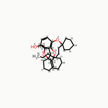 CCCC1(Oc2ccc(O)c(OC3(CCC)CCCCC3)c2OC2(CCC)CCCCC2)CCCCC1